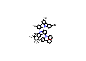 CC(C)(C)c1cc2c3c(c1)-n1c4cc5c(cc4c4c(N(c6ccccc6)c6ccccc6-c6ccccc6)ccc(c41)B3n1c3ccc(C(C)(C)C)cc3c3cc(C(C)(C)C)cc-2c31)C(C)(C)CCC5(C)C